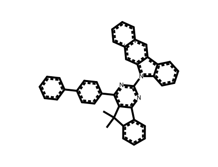 CC1(C)c2ccccc2-c2nc(-n3c4ccccc4c4cc5ccccc5cc43)nc(-c3ccc(-c4ccccc4)cc3)c21